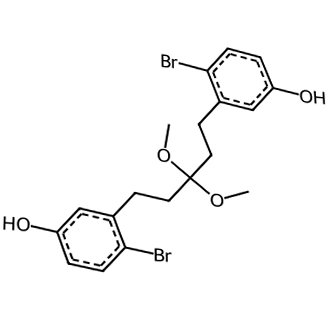 COC(CCc1cc(O)ccc1Br)(CCc1cc(O)ccc1Br)OC